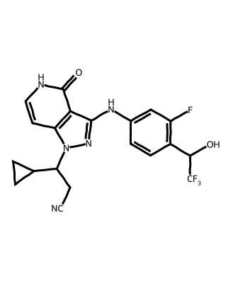 N#CCC(C1CC1)n1nc(Nc2ccc(C(O)C(F)(F)F)c(F)c2)c2c(=O)[nH]ccc21